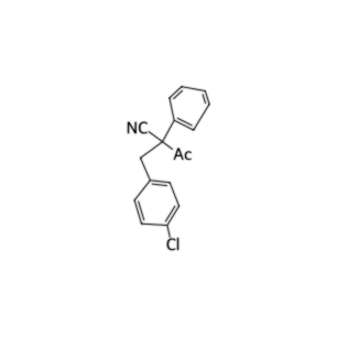 CC(=O)C(C#N)(Cc1ccc(Cl)cc1)c1ccccc1